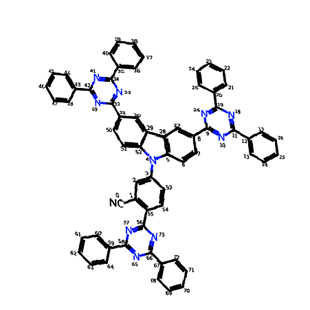 N#Cc1cc(-n2c3ccc(-c4nc(-c5ccccc5)nc(-c5ccccc5)n4)cc3c3cc(-c4nc(-c5ccccc5)nc(-c5ccccc5)n4)ccc32)ccc1-c1nc(-c2ccccc2)nc(-c2ccccc2)n1